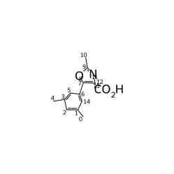 Cc1cc(C)cc(-c2oc(C)nc2C(=O)O)c1